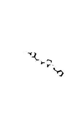 Nc1nc([C@@H](NC(=O)N2CCN(N=Cc3ccco3)C2=O)C(=O)O)cs1